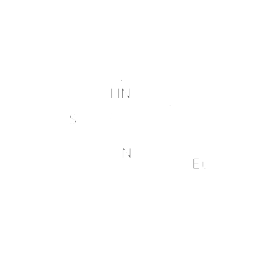 CCc1c(C)[nH]c(=S)n1C